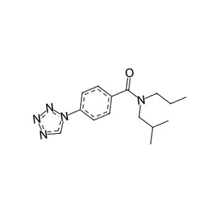 CCCN(CC(C)C)C(=O)c1ccc(-n2cnnn2)cc1